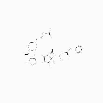 CC(NC(=O)Cn1cnnn1)[C@H]1C(=O)N2C(C(=O)O)=C(S[C@@H]3CN[C@H](C(=O)N4CCN(CCNC(=N)N)CC4)C3)[C@H](C)[C@H]12